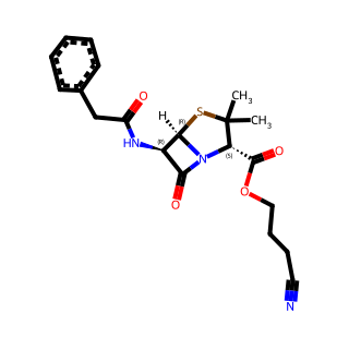 CC1(C)S[C@@H]2[C@H](NC(=O)Cc3ccccc3)C(=O)N2[C@H]1C(=O)OCCCC#N